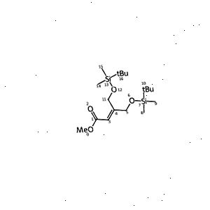 COC(=O)C=C(CO[Si](C)(C)C(C)(C)C)CO[Si](C)(C)C(C)(C)C